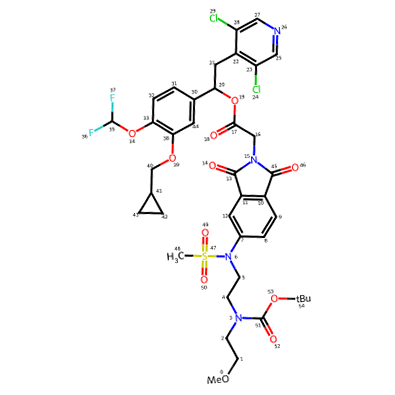 COCCN(CCN(c1ccc2c(c1)C(=O)N(CC(=O)OC(Cc1c(Cl)cncc1Cl)c1ccc(OC(F)F)c(OCC3CC3)c1)C2=O)S(C)(=O)=O)C(=O)OC(C)(C)C